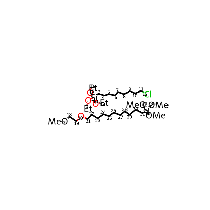 CCO[Si](CCCCCCCCCCl)(OCC)OCC.COCCOCCCCCCCCCCC[Si](OC)(OC)OC